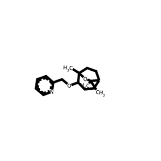 CC1(C)OC2(C)CCC1CCC2OCc1ccccn1